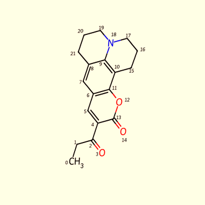 CCC(=O)c1cc2cc3c4c(c2oc1=O)CCCN4CCC3